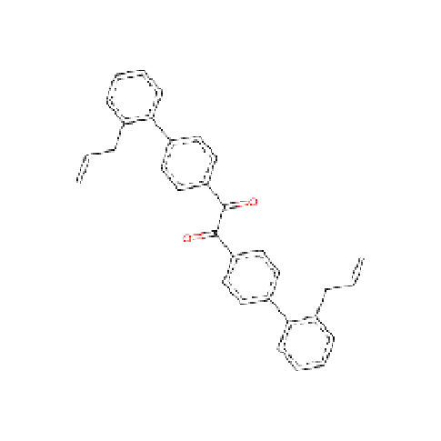 C=CCc1ccccc1-c1ccc(C(=O)C(=O)c2ccc(-c3ccccc3CC=C)cc2)cc1